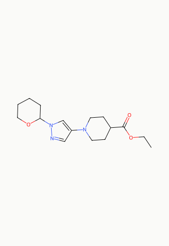 CCOC(=O)C1CCN(c2cnn(C3CCCCO3)c2)CC1